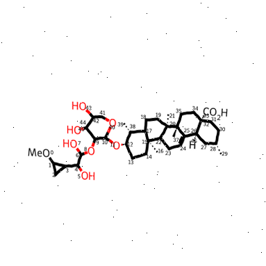 COC1CC1C(O)C(O)OC1C(O[C@H]2CC[C@@]3(C)C(CC[C@]4(C)C3CC=C3[C@@H]5C[C@@H](C)CC[C@]5(C(=O)O)CC[C@]34C)[C@H]2C)OCC(O)C1O